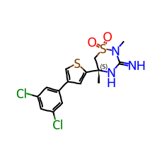 CN1C(=N)N[C@](C)(c2cc(-c3cc(Cl)cc(Cl)c3)cs2)CS1(=O)=O